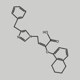 O=C(O)C(=CCn1cnc(Cc2ccccc2)c1)Oc1cccc2c1CCCC2